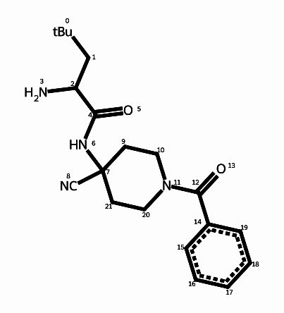 CC(C)(C)CC(N)C(=O)NC1(C#N)CCN(C(=O)c2ccccc2)CC1